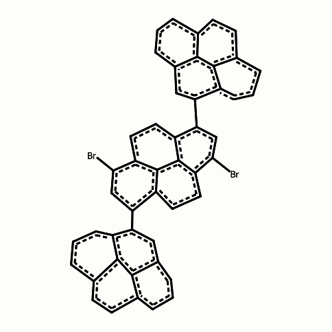 Brc1cc(-c2cc3cccc4ccc5cccc2c5c43)c2ccc3c(Br)cc(-c4cc5cccc6ccc7cccc4c7c65)c4ccc1c2c34